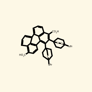 CCCC12CCC(c3c(C(=O)O)c4cccc5c6cccc7c(C(=O)O)ccc(c(c3C38CCC(CCC)(CC3)CC8)c45)c76)(CC1)CC2